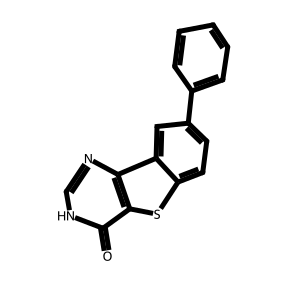 O=c1[nH]cnc2c1sc1ccc(-c3ccccc3)cc12